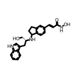 O=C(C=Cc1ccc2c(c1)CCC2N[C@@H](CO)Cc1c[nH]c2ccccc12)NO